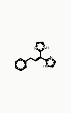 C(Cc1ccccc1)=C(c1ncc[nH]1)c1ncc[nH]1